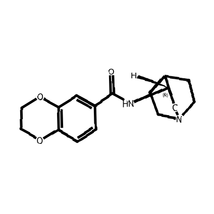 O=C(N[C@H]1CN2CCC1CC2)c1ccc2c(c1)OCCO2